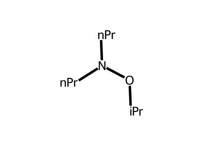 CCCN(CCC)OC(C)C